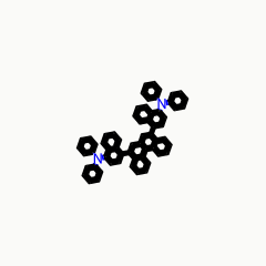 c1ccc(N(c2ccccc2)c2ccc(-c3cc4cc(-c5ccc(N(c6ccccc6)c6ccccc6)c6ccccc56)c5ccccc5c4c4ccccc34)c3ccccc23)cc1